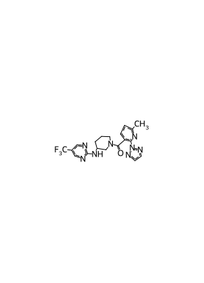 Cc1ccc(C(=O)N2CCCC(Nc3ncc(C(F)(F)F)cn3)C2)c(-n2nccn2)n1